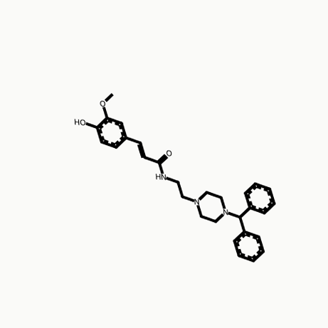 COc1cc(C=CC(=O)NCCN2CCN(C(c3ccccc3)c3ccccc3)CC2)ccc1O